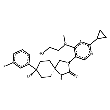 CC[C@]1(c2cccc(F)c2)CC[C@]2(CC1)CN(c1cnc(C3CC3)nc1N(C)CCO)C(=O)N2